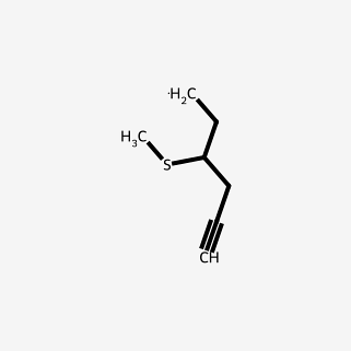 C#CCC(C[CH2])SC